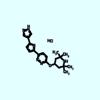 CC1(C)CC(Oc2ccc(-c3ccc(-c4cn[nH]c4)s3)nn2)CC(C)(C)N1.Cl